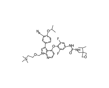 CC(C)Oc1ccc(-c2cn(COCC[Si](C)(C)C)c3nccc(Oc4c(F)cc(NC(=O)NCC5(C(C)C)COC5)cc4F)c23)cc1C#N